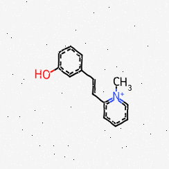 C[n+]1ccccc1/C=C/c1cccc(O)c1